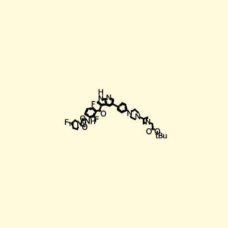 CC(C)(C)OC(=O)CN1CC(N2CCN(c3ccc(-c4cnc5[nH]cc(C(=O)c6c(F)ccc(NS(=O)(=O)N7CC[C@@H](F)C7)c6F)c5c4)cc3)CC2)C1